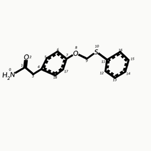 NC(=O)Cc1ccc(OCSc2ccccc2)cc1